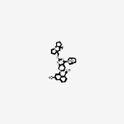 C#Cc1cccc2cc(O)cc(N3CCc4c(nc(OCC56CCCN5C5CCCC5(F)C6)nc4N4CC5CCC(C4)N5)C3)c12